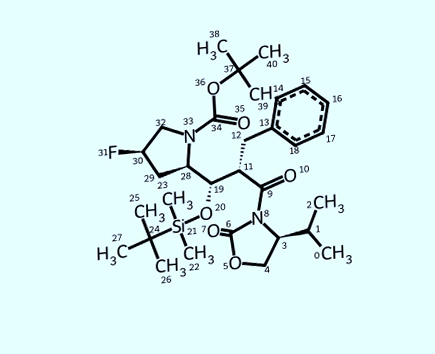 CC(C)[C@H]1COC(=O)N1C(=O)[C@@H](Cc1ccccc1)[C@H](O[Si](C)(C)C(C)(C)C)[C@H]1C[C@@H](F)CN1C(=O)OC(C)(C)C